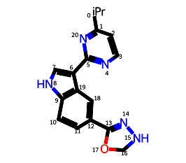 CC(C)c1ccnc(-c2c[nH]c3ccc(C4=NNCO4)cc23)n1